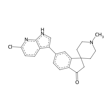 CN1CCC2(CC1)CC(=O)c1ccc(-c3c[nH]c4nc(Cl)ccc34)cc12